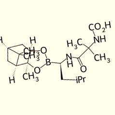 CC(C)C[C@H](NC(=O)C(C)(C)NC(=O)O)B1O[C@@H]2C[C@@H]3C[C@@H](C3(C)C)[C@]2(C)O1